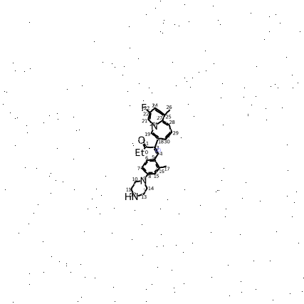 CCC(=O)/C(=C\c1ccc(N2CCNCC2)cc1C)C1=CN2C=C(F)C=C(C)C2=CC=C1